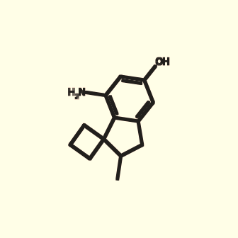 CC1Cc2cc(O)cc(N)c2C12CCC2